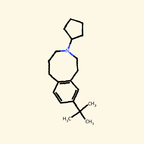 CC(C)(C)c1ccc2c(c1)CCN(C1CCCC1)CCC2